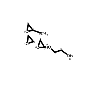 C1CO1.C1CO1.CC1CO1.OCCO